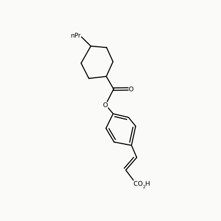 CCCC1CCC(C(=O)Oc2ccc(/C=C/C(=O)O)cc2)CC1